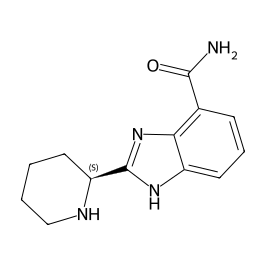 NC(=O)c1cccc2[nH]c([C@@H]3CCCCN3)nc12